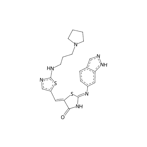 O=C1NC(=Nc2ccc3cn[nH]c3c2)SC1=Cc1cnc(NCCCN2CCCC2)s1